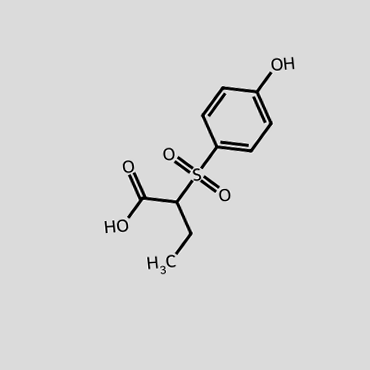 CCC(C(=O)O)S(=O)(=O)c1ccc(O)cc1